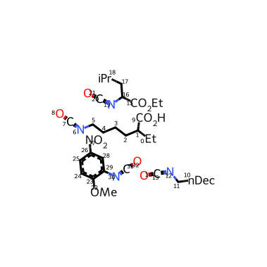 CCC(CCCCN=C=O)C(=O)O.CCCCCCCCCCCN=C=O.CCOC(=O)C(CC(C)C)N=C=O.COc1ccc([N+](=O)[O-])cc1N=C=O